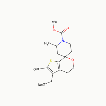 COCc1c(C=O)sc2c1CCOC21CCN(C(=O)OC(C)(C)C)C(C)C1